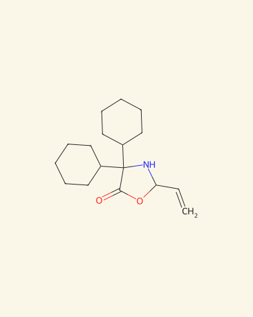 C=CC1NC(C2CCCCC2)(C2CCCCC2)C(=O)O1